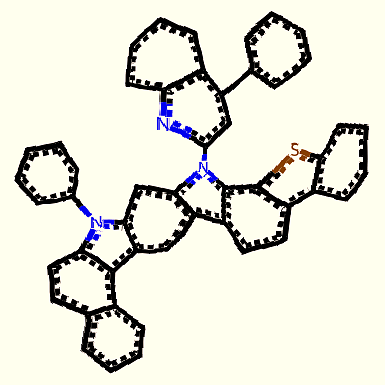 c1ccc(-c2cc(-n3c4cc5c(cc4c4ccc6c7ccccc7sc6c43)c3c4ccccc4ccc3n5-c3ccccc3)nc3ccccc23)cc1